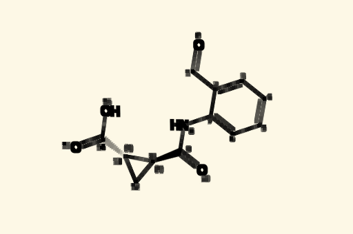 O=Cc1ccccc1NC(=O)[C@H]1C[C@@H]1C(=O)O